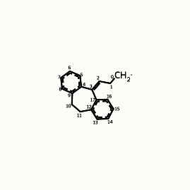 [CH2]CC=C1c2ccccc2CCc2ccccc21